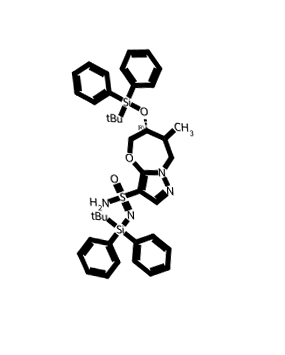 CC1Cn2ncc(S(N)(=O)=N[Si](c3ccccc3)(c3ccccc3)C(C)(C)C)c2OC[C@@H]1O[Si](c1ccccc1)(c1ccccc1)C(C)(C)C